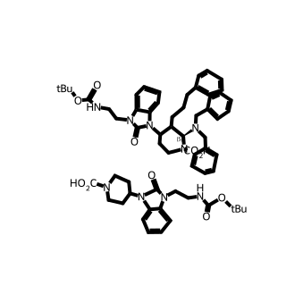 CC(C)(C)OC(=O)NCCn1c(=O)n(C2CCN(C(=O)O)CC2)c2ccccc21.CC(C)(C)OC(=O)NCCn1c(=O)n(C2CCN(C(=O)O)[C@H](N(Cc3ccccc3)Cc3ccccc3)C2CCCc2ccccc2)c2ccccc21